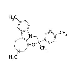 Cc1ccc2c(c1)c1c(n2CC(O)(c2ccc(C(F)(F)F)nc2)C(F)(F)F)CCN(C)CC1